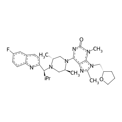 Cc1nc2c(N3C[C@@H](C)N([C@H](c4ccc5cc(F)ccc5n4)C(C)C)C[C@@H]3C)nc(=O)n(C)c2n1C[C@@H]1CCCO1